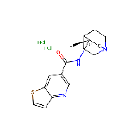 Cl.Cl.O=C(N[C@H]1CN2CCC1CC2)c1cnc2ccsc2c1